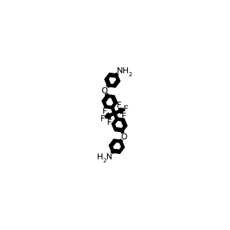 NC1=CCC(OC2=CCC(C(C3C=CC(Oc4ccc(N)cc4)=CC3)(C(F)(F)F)C(F)(F)F)C=C2)C=C1